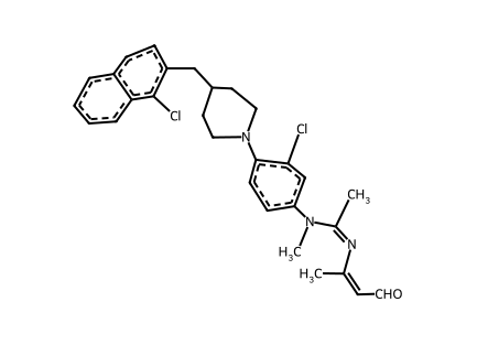 CC(=C/C=O)/N=C(/C)N(C)c1ccc(N2CCC(Cc3ccc4ccccc4c3Cl)CC2)c(Cl)c1